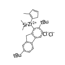 CC1=[C]([Zr+2]([c]2c(C(C)(C)C)ccc3c2Cc2cc(C(C)(C)C)ccc2-3)=[Si](C)C)CC=C1.[Cl-].[Cl-]